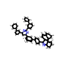 c1ccc(-c2cccc(-c3cc(-c4cccc(-c5ccc(-c6nc7ccccc7c7c6ccc6ccccc67)cc5)c4)nc(-c4cccc(-c5ccccc5)c4)n3)c2)cc1